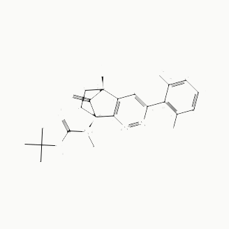 C=C1[C@@H]2CC[C@@]1(N(C)C(=O)OC(C)(C)C)c1nnc(-c3c(F)cccc3F)cc12